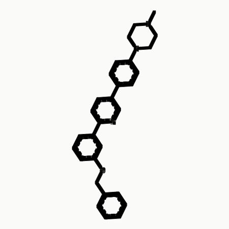 CN1CCN(c2ccc(-c3ccc(-c4cccc(OCc5ccccc5)c4)nc3)cc2)CC1